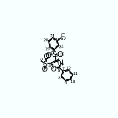 CS(=O)(=O)c1oc(-c2ccccc2)nc1S(=O)(=O)c1cccc(F)c1